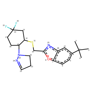 CC(C)(C)c1ccc2oc(CSC3CC(F)(F)CCC3N3CCC=N3)nc2c1